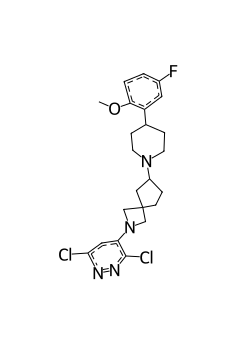 COc1ccc(F)cc1C1CCN(C2CCC3(C2)CN(c2cc(Cl)nnc2Cl)C3)CC1